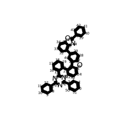 c1ccc(-c2nc(-c3ccccc3)nc(-c3ccccc3-c3cccc4oc5ccc(-c6cccc7oc(-c8ccccc8)nc67)cc5c34)n2)cc1